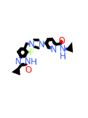 O=C(NC1CC1)c1ccc(N2CCN(Cc3ccc4nc(C5CC5)c(=O)[nH]c4c3F)CC2)cn1